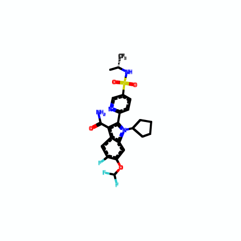 C[C@@H](NS(=O)(=O)c1ccc(-c2c(C(N)=O)c3cc(F)c(OC(F)F)cc3n2C2CCCC2)nc1)C(F)(F)F